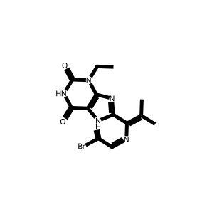 C=C(Br)/C=N\C(=C(C)C)c1nc2c([nH]1)c(=O)[nH]c(=O)n2CC